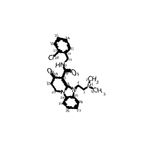 CN(C)CCN1C2=C(C(=O)NCc3ccccc3Cl)C(=O)CCN2c2ccccc21